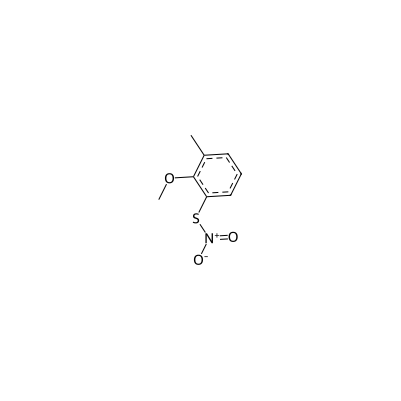 COc1c(C)cccc1S[N+](=O)[O-]